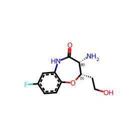 N[C@H]1C(=O)Nc2cc(F)ccc2O[C@H]1CCO